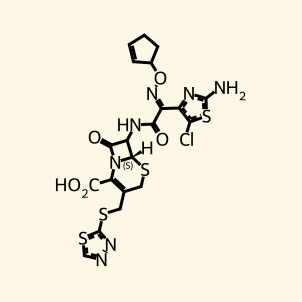 Nc1nc(C(=NOC2C=CCC2)C(=O)NC2C(=O)N3C(C(=O)O)=C(CSc4nncs4)CS[C@@H]23)c(Cl)s1